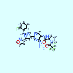 Nc1nc(-c2cc(-c3ccon3)n(Cc3ccccc3F)n2)ncc1NC(=O)[C@H]1CCCN1C(=O)C(F)(F)F